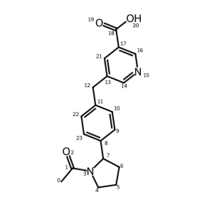 CC(=O)N1CCCC1c1ccc(Cc2cncc(C(=O)O)c2)cc1